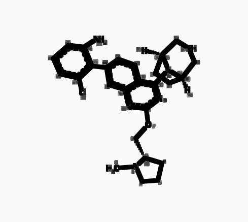 CN1CCC[C@H]1COc1nc(N2[C@@H]3CC[C@H]2CNC3)c2ccc(-c3c(N)cccc3Cl)cc2n1